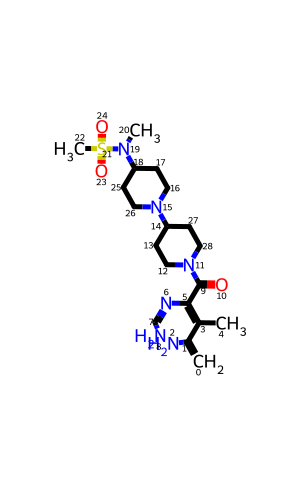 C=C(N)/C(C)=C(\N=C/N)C(=O)N1CCC(N2CCC(N(C)S(C)(=O)=O)CC2)CC1